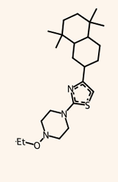 C[CH]ON1CCN(c2nc(C3CCC4C(C3)C(C)(C)CCC4(C)C)cs2)CC1